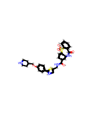 O=C(NCc1cnc(-c2ccc(OCC3CCNCC3)cc2)s1)c1ccc2c(c1)NC(=O)c1ccccc1S2(=O)=O